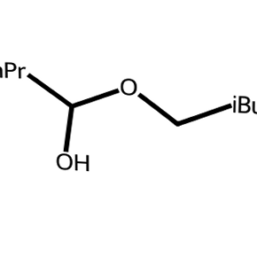 CCCC(O)OCC(C)CC